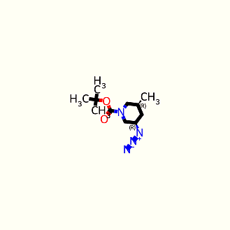 C[C@@H]1C[C@@H](N=[N+]=[N-])CN(C(=O)OC(C)(C)C)C1